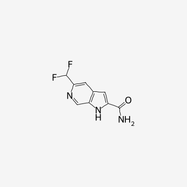 NC(=O)c1cc2cc(C(F)F)ncc2[nH]1